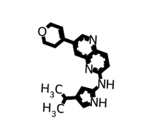 CC(C)c1c[nH]c(Nc2ccc3ncc(C4=CCOCC4)cc3n2)c1